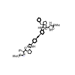 COO/C=N\[C@H](C(=O)N1CCC[C@H]1c1ncc(-c2ccc(C#Cc3ccc4nc([C@]5(Cc6ccccc6)CCCN5C(=O)[C@@H](NC(=O)OC)C(C)C)[nH]c4c3)cc2)[nH]1)C(C)C